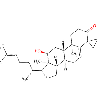 CC(C)=CCC[C@@H](C)[C@H]1CC[C@H]2[C@@H]3CC=C4C5(CC5)C(=O)CC[C@]4(C)[C@H]3C[C@H](O)[C@]12C